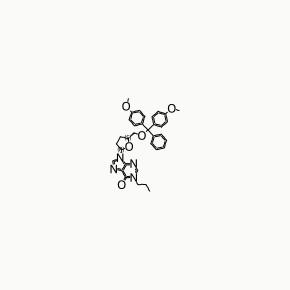 CCCn1cnc2c(ncn2[C@H]2CC[C@@H](COC(c3ccccc3)(c3ccc(OC)cc3)c3ccc(OC)cc3)O2)c1=O